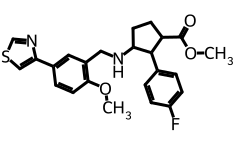 COC(=O)C1CCC(NCc2cc(-c3cscn3)ccc2OC)C1c1ccc(F)cc1